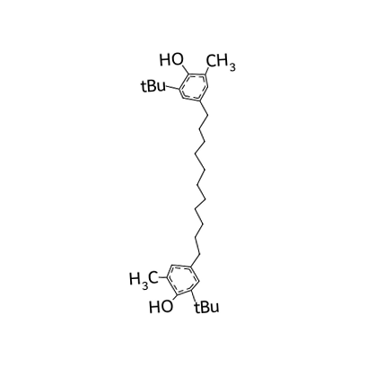 Cc1cc(CCCCCCCCCCCc2cc(C)c(O)c(C(C)(C)C)c2)cc(C(C)(C)C)c1O